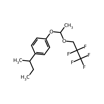 CCC(C)c1ccc(OC(C)OCC(F)(F)C(F)(F)F)cc1